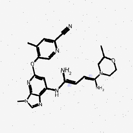 Cc1cc(C#N)ncc1Oc1cc(N/C(N)=C/C=C(\N)N2CCOC(C)C2)c2ncn(C)c2n1